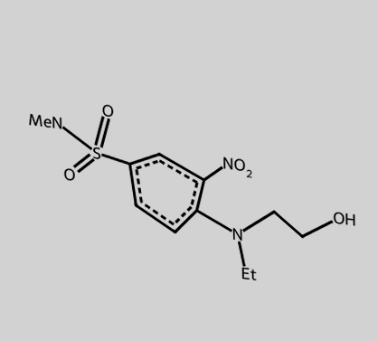 CCN(CCO)c1ccc(S(=O)(=O)NC)cc1[N+](=O)[O-]